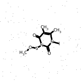 COSn1c(=O)c(C)c(C)n(I)c1=O